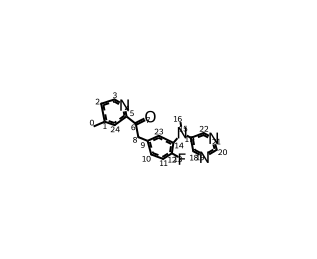 Cc1ccnc(C(=O)Cc2ccc(F)c(N(C)c3cncnc3)c2)c1